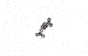 c1ccc(-c2cc(-c3ccc(-c4ccc5c(c4)C4(c6cc(-c7cc(-c8ccccn8)nc(-c8ccccn8)c7)ccc6S5)c5ccccc5-c5ccccc54)cc3)nc(-c3ccccc3)n2)cc1